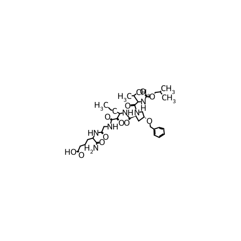 CCCC(NC(=O)[C@@H]1C[C@@H](OCc2ccccc2)CN1C(=O)C(NC(=O)OCC(C)C)C(C)C)C(=O)C(=O)NCC(=O)NC(CCCC(=O)O)C(N)=O